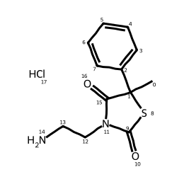 CC1(c2ccccc2)SC(=O)N(CCN)C1=O.Cl